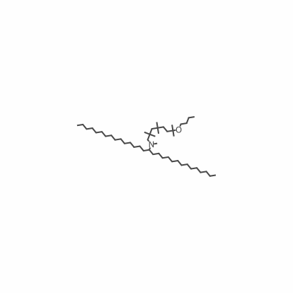 CCCCCCCCCCCCCCCC(CCCCCCCCCCCCCC)N(C)CC(C)(C)CC(C)(C)CCC(C)(C)OCCCC